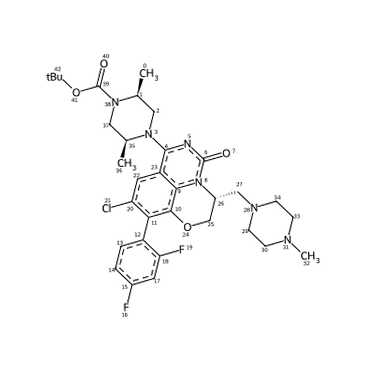 C[C@H]1CN(c2nc(=O)n3c4c(c(-c5ccc(F)cc5F)c(Cl)cc24)OC[C@H]3CN2CCN(C)CC2)[C@@H](C)CN1C(=O)OC(C)(C)C